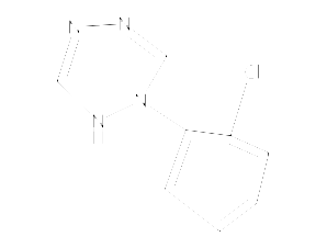 Clc1ccccc1N1C=NN=CN1